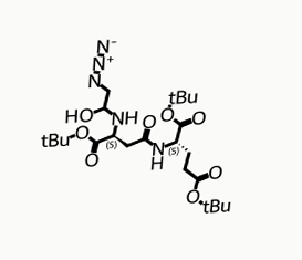 CC(C)(C)OC(=O)CC[C@H](NC(=O)C[C@H](NC(O)CN=[N+]=[N-])C(=O)OC(C)(C)C)C(=O)OC(C)(C)C